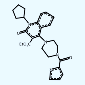 CCOC(=O)c1c(N2CCN(C(=O)c3cccs3)CC2)c2ccccc2n(C2CCCC2)c1=O